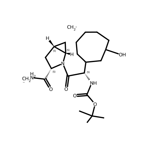 CC(C)(C)OC(=O)N[C@@H]([C]1CCCCCC(O)C1)C(=O)N1[C@H](C(N)=O)C[C@@H]2C[C@@H]21.[CH2].[CH2]